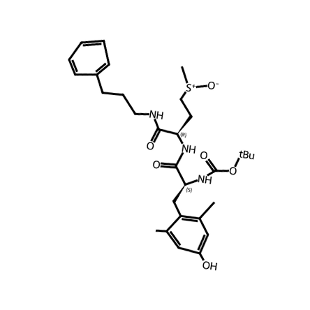 Cc1cc(O)cc(C)c1C[C@H](NC(=O)OC(C)(C)C)C(=O)N[C@H](CC[S+](C)[O-])C(=O)NCCCc1ccccc1